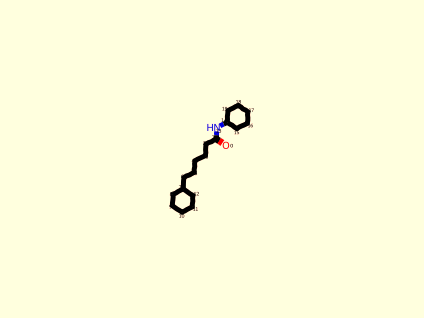 O=C(CCCCCC1CCCCC1)NC1CCCCC1